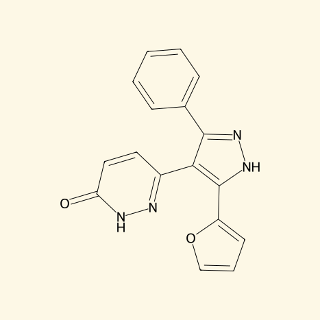 O=c1ccc(-c2c(-c3ccccc3)n[nH]c2-c2ccco2)n[nH]1